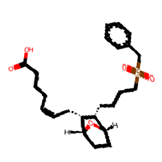 O=C(O)CCC/C=C\C[C@@H]1[C@H](CCCCS(=O)(=O)Cc2ccccc2)[C@@H]2CC[C@H]1O2